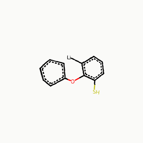 [Li][c]1cccc(S)c1Oc1ccccc1